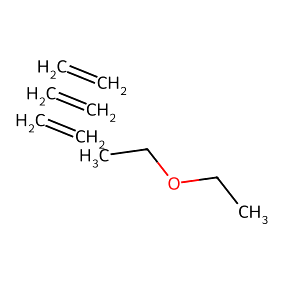 C=C.C=C.C=C.CCOCC